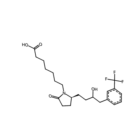 O=C(O)CCCCCCN1C(=O)CC[C@@H]1CCC(O)Cc1cccc(C(F)(F)F)c1